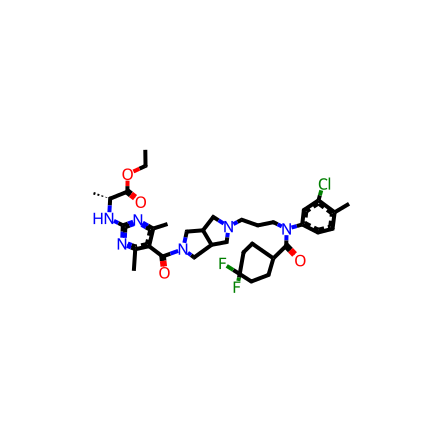 CCOC(=O)[C@@H](C)Nc1nc(C)c(C(=O)N2CC3CN(CCCN(C(=O)C4CCC(F)(F)CC4)c4ccc(C)c(Cl)c4)CC3C2)c(C)n1